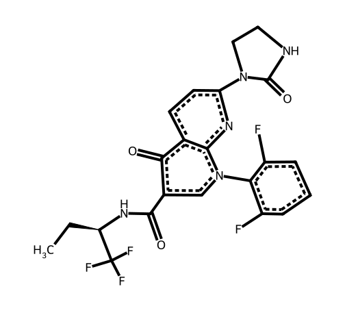 CC[C@@H](NC(=O)c1cn(-c2c(F)cccc2F)c2nc(N3CCNC3=O)ccc2c1=O)C(F)(F)F